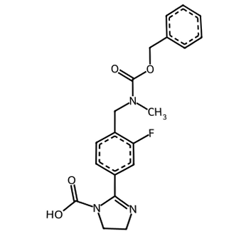 CN(Cc1ccc(C2=NCCN2C(=O)O)cc1F)C(=O)OCc1ccccc1